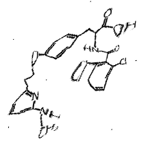 CNc1cccc(CCOc2ccc(C[C@H](NC(=O)c3c(Cl)cccc3Cl)C(=O)O)cc2)n1